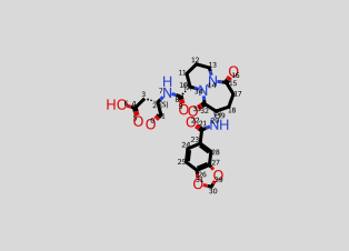 O=C[C@H](CC(=O)O)NC(=O)[C@@H]1CCCN2C(=O)CC[C@H](NC(=O)c3ccc4c(c3)OCO4)C(=O)N12